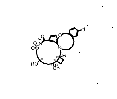 O=C1NS(=O)(=O)CC[C@H](O)CC[C@H](O)[C@@H]2CC[C@H]2CN2CCCCc3cc(Cl)ccc3COc3ccc1cc32